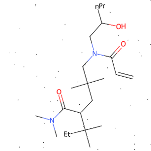 C=CC(=O)N(CC(O)CCC)CC(C)(C)CC(C(=O)N(C)C)C(C)(C)CC